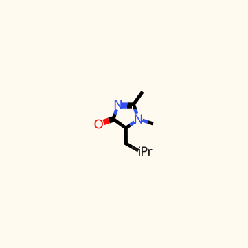 CC1=NC(=O)C(CC(C)C)N1C